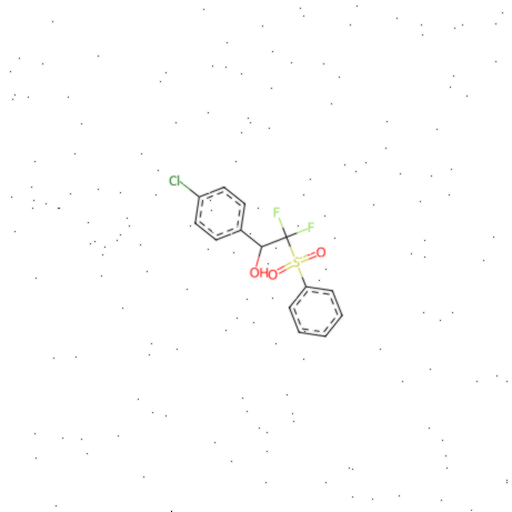 O=S(=O)(c1ccccc1)C(F)(F)C(O)c1ccc(Cl)cc1